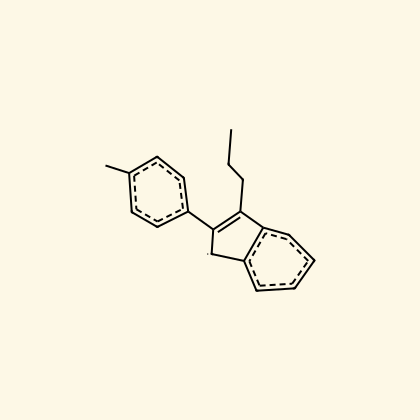 CCCC1=C(c2ccc(C)cc2)[CH]c2ccccc21